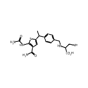 CC(C)CC(NCc1ccc(C(C)c2cc(C(N)=O)c(NC(N)=O)s2)cc1)C(=O)O